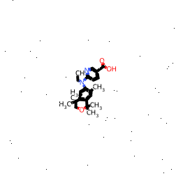 CCN(c1ccc(C(=O)O)cn1)c1cc2c(cc1C)C(C)(C)OCC2(C)C